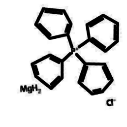 [Cl-].[MgH2].c1ccc([P+](c2ccccc2)(c2ccccc2)c2ccccc2)cc1